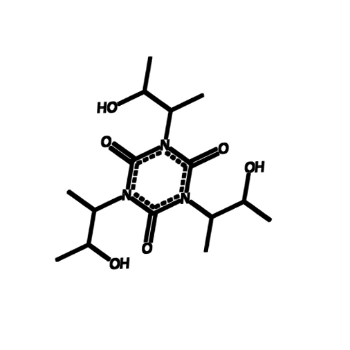 CC(O)C(C)n1c(=O)n(C(C)C(C)O)c(=O)n(C(C)C(C)O)c1=O